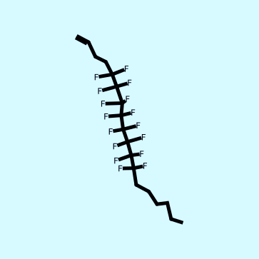 C=CCCC(F)(F)C(F)(F)C(F)(F)C(F)(F)C(F)(F)C(F)(F)C(F)(F)C(F)(F)CCCCCC